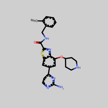 COc1ccccc1CNC(=O)c1nc2c(OC3CCNCC3)cc(-c3ccnc(N)n3)cc2s1